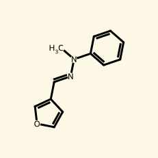 CN(N=Cc1ccoc1)c1ccccc1